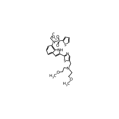 CCN(c1cccc2cc(-c3ncc(CN(CCOC)CCOC)s3)[nH]c12)S(=O)(=O)c1cccs1